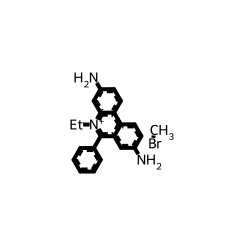 CBr.CC[n+]1c(-c2ccccc2)c2cc(N)ccc2c2ccc(N)cc21